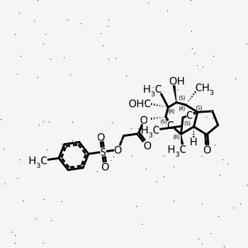 Cc1ccc(S(=O)(=O)OCC(=O)O[C@H]2C[C@]3(C)C(C)CC[C@]4(CCC(=O)[C@H]43)[C@@H](C)[C@H](O)[C@@]2(C)C=O)cc1